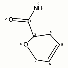 [NH]C(=O)C1CC=CCO1